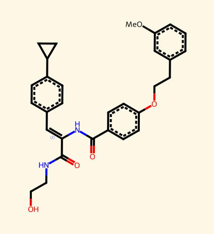 COc1cccc(CCOc2ccc(C(=O)N/C(=C\c3ccc(C4CC4)cc3)C(=O)NCCO)cc2)c1